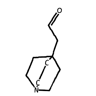 O=CCC12CCN(CC1)CC2